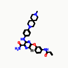 C=CC(=O)Nc1cccc(Oc2nc(Nc3ccc(N4CCC5(CCN(C)CC5)CC4)cc3)c(C(N)=O)nc2CC)c1